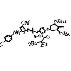 C=C1C(CCCC)CN(c2ccc(/N=N/c3sc(N=Nc4ccc(C#N)cc4)cc3C#N)c(NC(=O)C(CC)CCCC)c2)CC1CCCC